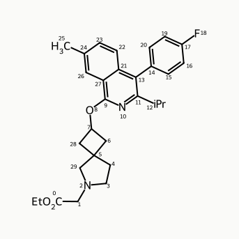 CCOC(=O)CN1CCC2(CC(Oc3nc(C(C)C)c(-c4ccc(F)cc4)c4ccc(C)cc34)C2)C1